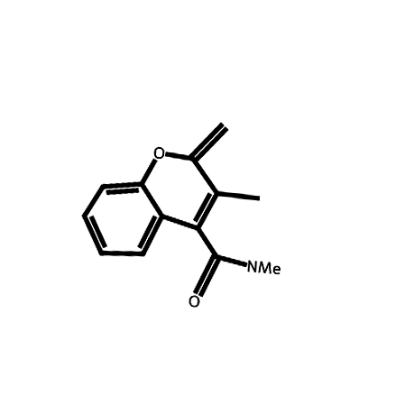 C=C1Oc2ccccc2C(C(=O)NC)=C1C